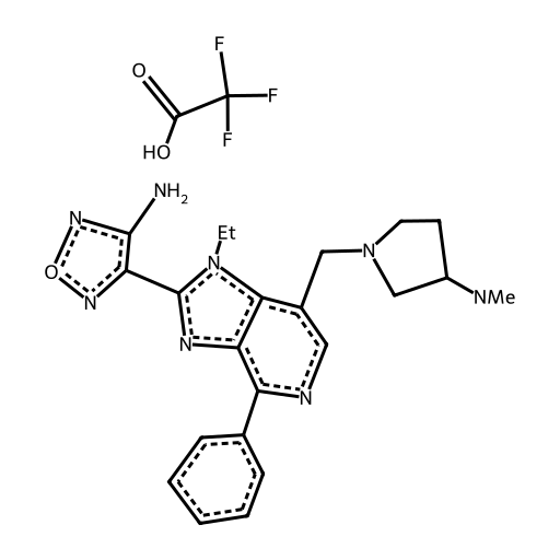 CCn1c(-c2nonc2N)nc2c(-c3ccccc3)ncc(CN3CCC(NC)C3)c21.O=C(O)C(F)(F)F